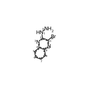 NNc1nc2ccccc2nc1Br